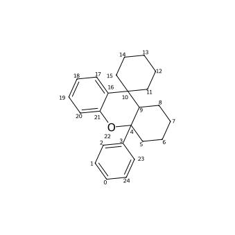 c1ccc(C23CCCCC2C2(CCCCC2)c2ccccc2O3)cc1